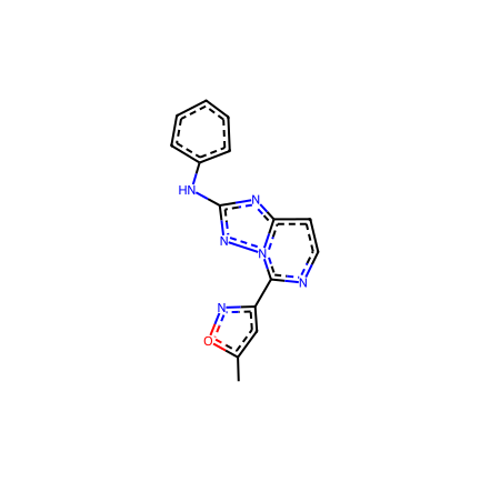 Cc1cc(-c2nccc3nc(Nc4ccccc4)nn23)no1